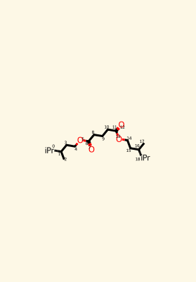 CC(C)C(C)CCOC(=O)CCCC(=O)OCCC(C)C(C)C